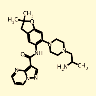 CC(N)CN1CCN(c2cc3c(cc2NC(=O)c2cnn4cccnc24)CC(C)(C)O3)CC1